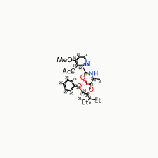 CCC(CC)[C@@H](OC(=O)[C@H](C)NC(=O)c1nccc(OC)c1OC(C)=O)[C@H](C)Oc1ccccc1